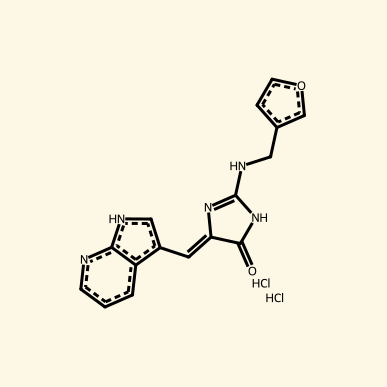 Cl.Cl.O=C1NC(NCc2ccoc2)=NC1=Cc1c[nH]c2ncccc12